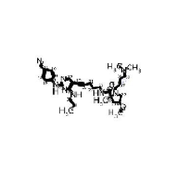 CCCNc1nc(Nc2ccc(C#N)cc2)ncc1C#CCCCNC(=O)[C@]1(C)C[C@H](OC)CN1C(=O)/C=C/CN(C)C